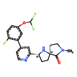 CN1CC[C@@]2(CC[C@H](c3cc(-c4cc(OC(F)F)ccc4F)ccn3)N2)C1=O